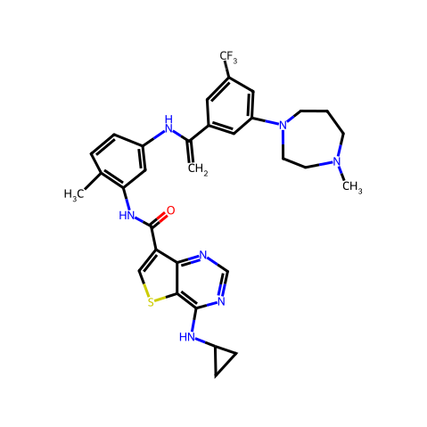 C=C(Nc1ccc(C)c(NC(=O)c2csc3c(NC4CC4)ncnc23)c1)c1cc(N2CCCN(C)CC2)cc(C(F)(F)F)c1